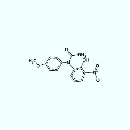 COc1ccc(N(C(N)=O)c2cccc([N+](=O)[O-])c2O)cc1